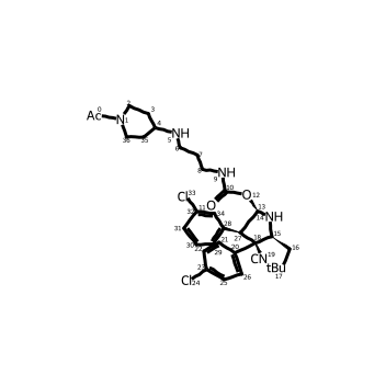 CC(=O)N1CCC(NCCCNC(=O)O[C@H]2N[C@@H](CC(C)(C)C)[C@](C#N)(c3ccc(Cl)cc3)[C@H]2c2cccc(Cl)c2)CC1